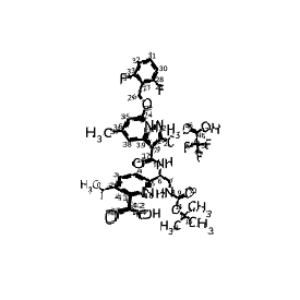 CCc1ccc(C(CNC(=O)OC(C)(C)C)NC(=O)c2c(C)nn3c(OCc4c(F)cccc4F)cc(C)cc23)nc1C(=O)O.O=C(O)C(F)(F)F